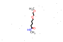 CNC(=O)CCCCOCCOC